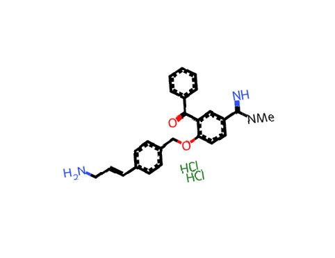 CNC(=N)c1ccc(OCc2ccc(C=CCN)cc2)c(C(=O)c2ccccc2)c1.Cl.Cl